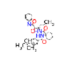 CCC[C@H](NC(=O)C1(NC(=O)c2ccc(C(C)(C)C)cc2)CCCCC1)C(=O)c1nc2ccccc2o1